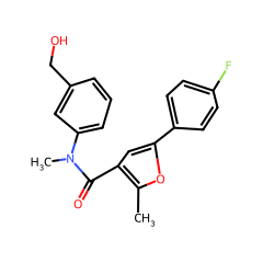 Cc1oc(-c2ccc(F)cc2)cc1C(=O)N(C)c1cccc(CO)c1